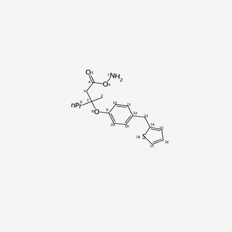 CCCC(C)(CC(=O)ON)Oc1ccc(Cc2cccs2)cc1